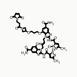 CCn1nc(C)cc1C(=O)Nc1nc2cc(C(N)=O)cc(OC)c2n1C/C=C/Cn1c(NC(=O)c2cc(C)nn2CC)nc2cc(C(N)=O)cc(OCCCOC3CN(C(=O)CCN4C(=O)C=CC4=O)C3)c21